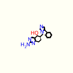 Nc1ncc2c(n1)CC[C@H]([C@H]1c3ccccc3-c3cncn31)[C@@H]2O